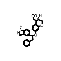 O=C(O)CC1CCOc2cc(OC(Cc3ccccc3)c3ccc4[nH]ncc4c3)ccc21